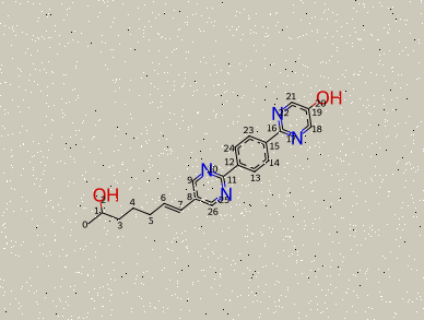 CC(O)CCC/C=C/c1cnc(-c2ccc(-c3ncc(O)cn3)cc2)nc1